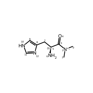 C[N+](C)C(=O)[C@@H](N)Cc1c[nH]cn1